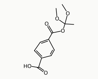 COC(C)(OC)OC(=O)c1ccc(C(=O)O)cc1